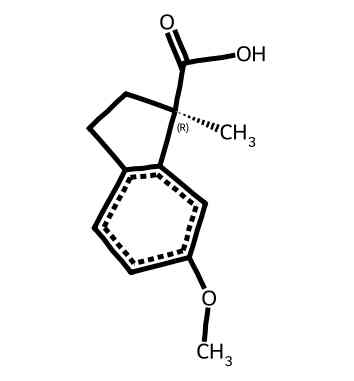 COc1ccc2c(c1)[C@](C)(C(=O)O)CC2